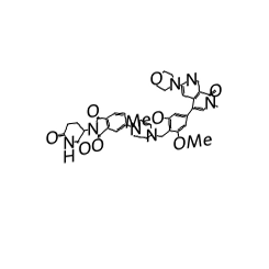 COc1cc(-c2cn(C)c(=O)c3cnc(N4CCOCC4)cc23)cc(OC)c1CN1CCN(c2ccc3c(c2)C(=O)N(C2CCC(=O)NC2=O)C3=O)CC1